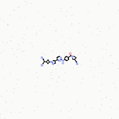 N#CC1CCN(C(=O)c2ccc(Nc3nccc(-c4cnn(C5CC(C(C#N)C#N)C5)c4)n3)cc2)C1